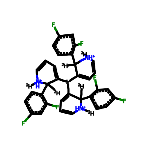 [2H][NH+]1C=CC=[C]([Ir]([C]2=CC=C[NH+]([2H])C2([2H])c2ccc(F)cc2F)[C]2=CC=C[NH+]([2H])C2([2H])c2ccc(F)cc2F)C1([2H])c1ccc(F)cc1F